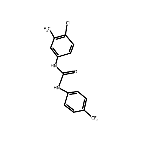 O=C(Nc1ccc(C(F)(F)F)cc1)Nc1ccc(Cl)c(C(F)(F)F)c1